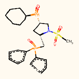 CS(=O)(=O)N1C[C@@H]([PH](=O)C2CCCCC2)C[C@H]1CP(=O)(c1ccccc1)c1ccccc1